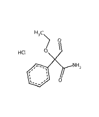 CCOC(C=O)(C(N)=O)c1ccccc1.Cl